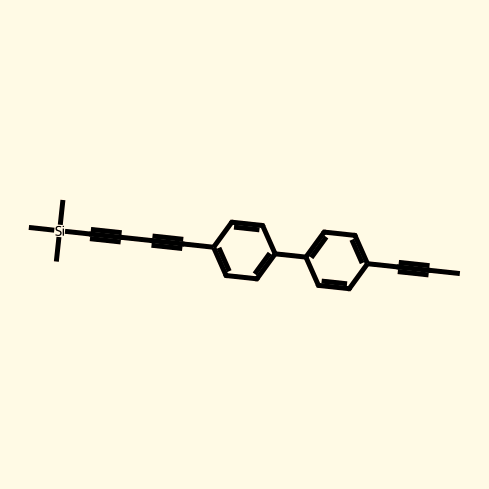 CC#Cc1ccc(-c2ccc(C#CC#C[Si](C)(C)C)cc2)cc1